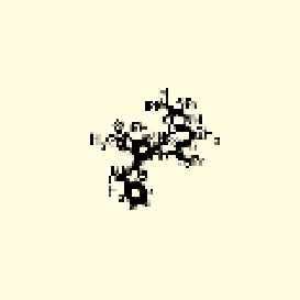 CC(C)CC(NC(=O)c1cc(C(=O)NC(C)c2ccccc2)cc(N(C)S(C)(=O)=O)c1)[C@@H](O)C[C@@H](C)C(=O)N[C@H](C(=O)NC(C)C)C(C)C